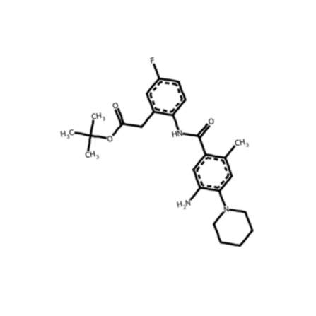 Cc1cc(N2CCCCC2)c(N)cc1C(=O)Nc1ccc(F)cc1CC(=O)OC(C)(C)C